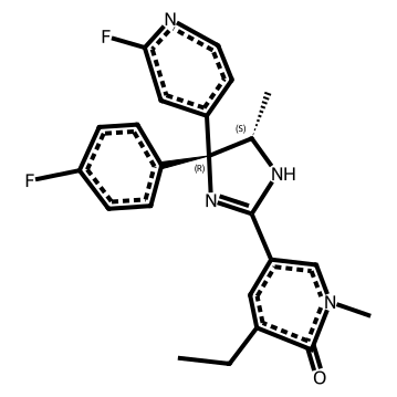 CCc1cc(C2=N[C@](c3ccc(F)cc3)(c3ccnc(F)c3)[C@H](C)N2)cn(C)c1=O